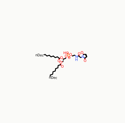 CCCCCCCCCCCCCCCCCC(=O)OC[C@H](COP(=O)(O)OCCNC(=O)CN1C(=O)C=CC1=O)OC(=O)CCCCCCCCCCCCCCCCC